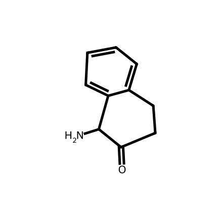 NC1C(=O)CCc2ccccc21